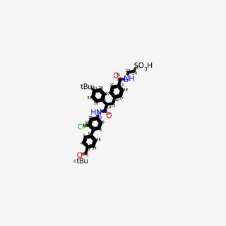 CC(C)(C)OCc1ccc(-c2ccc(NC(=O)C(Cc3ccc(C(=O)NCCS(=O)(=O)O)cc3)c3ccc(C(C)(C)C)cc3)cc2Cl)cc1